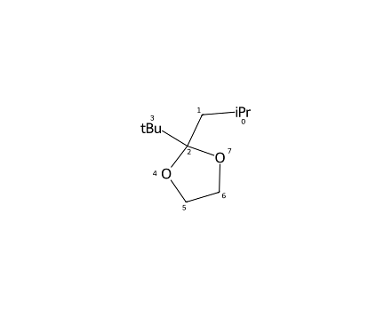 CC(C)CC1(C(C)(C)C)OCCO1